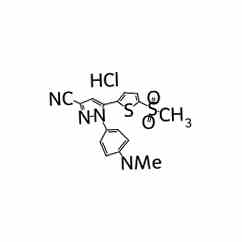 CNc1ccc(-n2nc(C#N)cc2-c2ccc(S(C)(=O)=O)s2)cc1.Cl